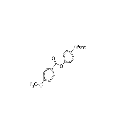 CCCCCc1ccc(OC(=O)c2ccc(OC(F)(F)F)cc2)cc1